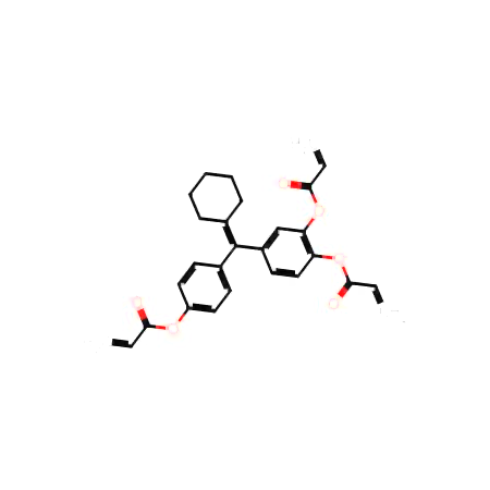 C=CC(=O)Oc1ccc(C(=C2CCCCC2)c2ccc(OC(=O)C=C)c(OC(=O)C=C)c2)cc1